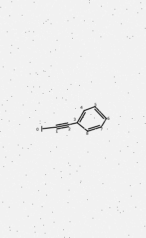 IC#Cc1ccccc1